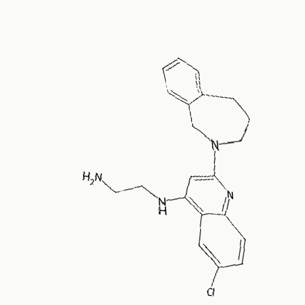 NCCNc1cc(N2CCCc3ccccc3C2)nc2ccc(Cl)cc12